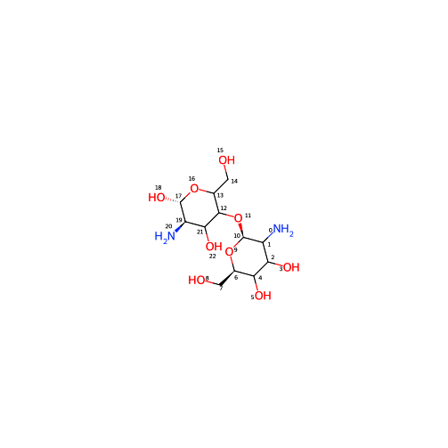 NC1C(O)C(O)[C@@H](CO)O[C@H]1OC1C(CO)O[C@@H](O)[C@H](N)C1O